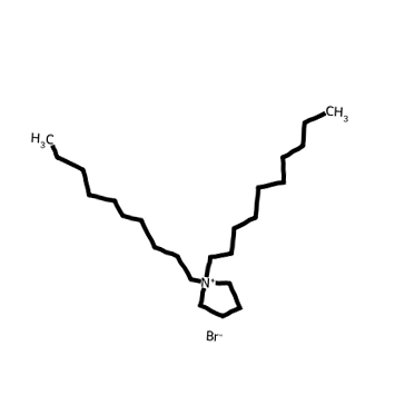 CCCCCCCCCC[N+]1(CCCCCCCCCC)CCCC1.[Br-]